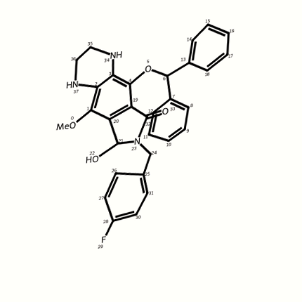 COc1c2c(c(OC(c3ccccc3)c3ccccc3)c3c1C(O)N(Cc1ccc(F)cc1)C3=O)NCCN2